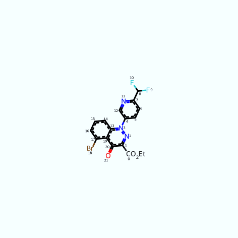 CCOC(=O)c1nn(-c2ccc(C(F)F)nc2)c2cccc(Br)c2c1=O